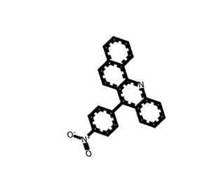 O=[N+]([O-])c1ccc(-c2c3ccccc3nc3c2ccc2ccccc23)cc1